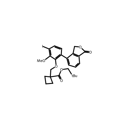 COc1c(I)ccc(-c2cccc3c2COC3=O)c1OCC1(C(=O)OCC(C)(C)C)CCC1